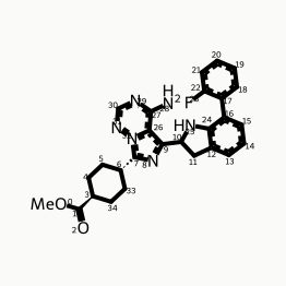 COC(=O)[C@H]1CC[C@H](c2nc(C3Cc4cccc(-c5ccccc5F)c4N3)c3c(N)ncnn32)CC1